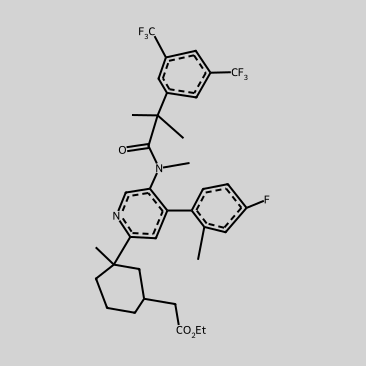 CCOC(=O)CC1CCCC(C)(c2cc(-c3ccc(F)cc3C)c(N(C)C(=O)C(C)(C)c3cc(C(F)(F)F)cc(C(F)(F)F)c3)cn2)C1